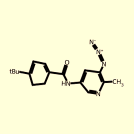 Cc1ncc(NC(=O)C2=CC=C(C(C)(C)C)CC2)cc1N=[N+]=[N-]